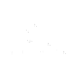 COc1cc2ncnc(Nc3cccc(Cl)c3F)c2cc1N1CC2(CN(C)C2)OC1=O